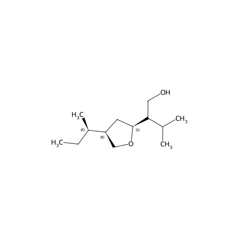 CC[C@@H](C)[C@@H]1CO[C@H](C(CO)C(C)C)C1